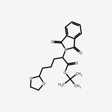 CC(C)(C)OC(=O)C(CCCC1OCCO1)N1C(=O)c2ccccc2C1=O